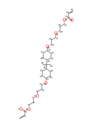 C=CC(=O)OCCCOCCCOC1CCC(C(C)(C)C2CCC(OCCCOCCCOC(=O)C=C)CC2)CC1